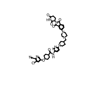 N#Cc1ncc(OC2CCC(C(=O)Nc3ccc(N4CCC(CN5CCN(c6ccc7c(c6)C(=O)N(C6CCC(=O)NC6=O)C7=O)CC5)CC4)nn3)CC2)cc1Cl